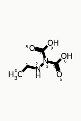 CCNN(C(=O)O)C(=O)O